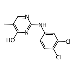 Cc1cnc(Nc2ccc(Cl)c(Cl)c2)nc1O